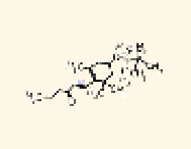 CCCC(=O)/C=C/C1=C(C)CC(O[Si](C)(C)C(C)(C)C)CC1(C)C